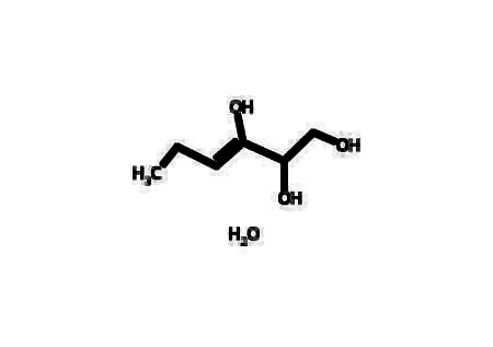 CCC=C(O)C(O)CO.O